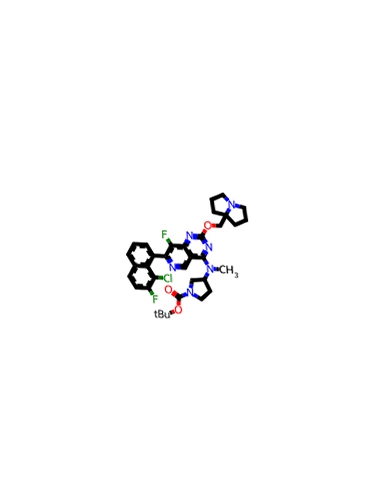 CN(c1nc(OCC23CCCN2CCC3)nc2c(F)c(-c3cccc4ccc(F)c(Cl)c34)ncc12)C1CCN(C(=O)OC(C)(C)C)C1